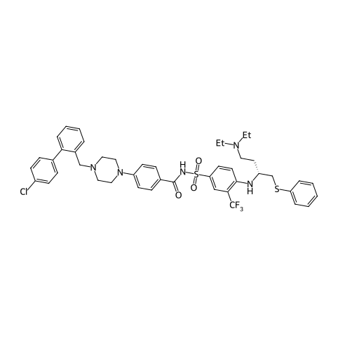 CCN(CC)CC[C@H](CSc1ccccc1)Nc1ccc(S(=O)(=O)NC(=O)c2ccc(N3CCN(Cc4ccccc4-c4ccc(Cl)cc4)CC3)cc2)cc1C(F)(F)F